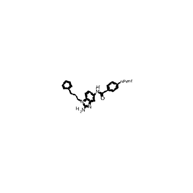 CCCCCc1ccc(C(=O)Nc2ccc3c(c2)nc(N)n3CCCc2ccccc2)cc1